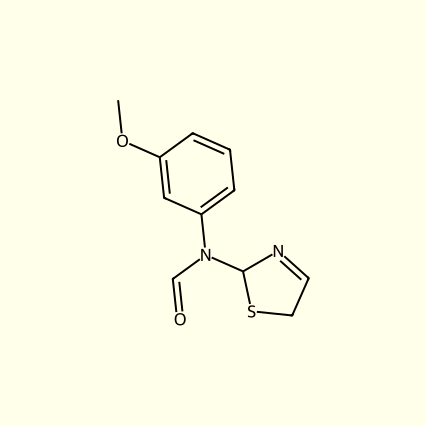 COc1cccc(N(C=O)C2N=CCS2)c1